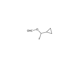 O=COC(F)C1CC1